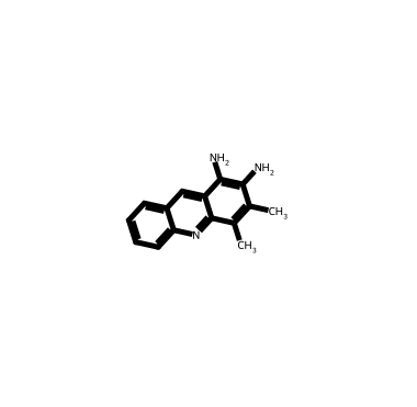 Cc1c(N)c(N)c2cc3ccccc3nc2c1C